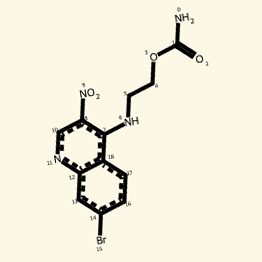 NC(=O)OCCNc1c([N+](=O)[O-])cnc2cc(Br)ccc12